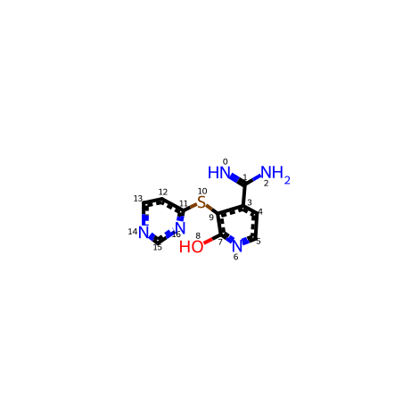 N=C(N)c1ccnc(O)c1Sc1ccncn1